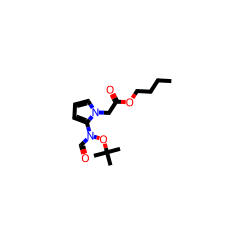 CCCCOC(=O)Cn1cccc1N(C=O)OC(C)(C)C